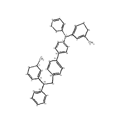 CC1=CC(N(C2=CC=CCC2)c2ccc(-c3ccc(CC(C4=CC(C)CC=C4)c4ccccc4)cc3)cc2)=CCC1